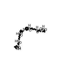 CC1=CN(CCC(=O)NCCCCC(=O)Nc2ccc(/C=N/c3ccc(NC(=O)CCCCNC(=O)CCn4cc(C)c(=O)[nH]c4=O)cc3)o2)C(=O)NC1